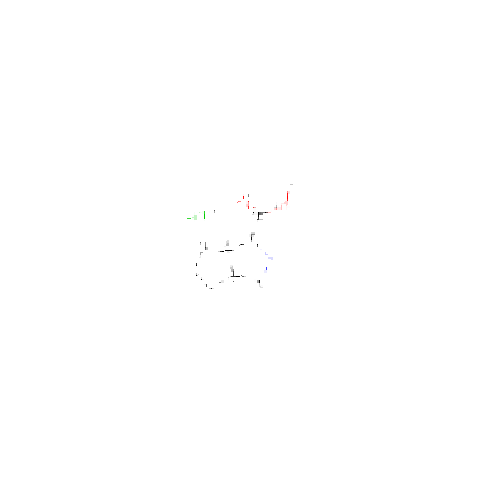 COC(=O)C1NCC2CCCC21.Cl